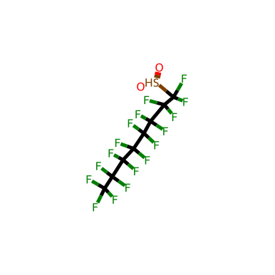 O=[SH](=O)C(F)(F)C(F)(F)C(F)(F)C(F)(F)C(F)(F)C(F)(F)C(F)(F)C(F)(F)F